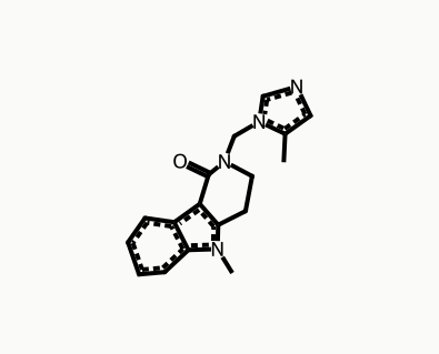 Cc1cncn1CN1CCc2c(c3ccccc3n2C)C1=O